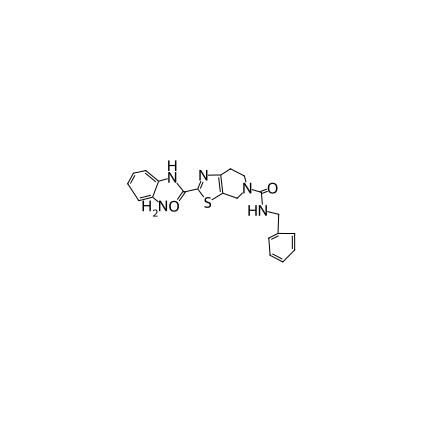 Nc1ccccc1NC(=O)c1nc2c(s1)CN(C(=O)NCc1ccccc1)CC2